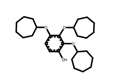 Oc1ccc(OC2CCCCCC2)c(OC2CCCCCC2)c1OC1CCCCCC1